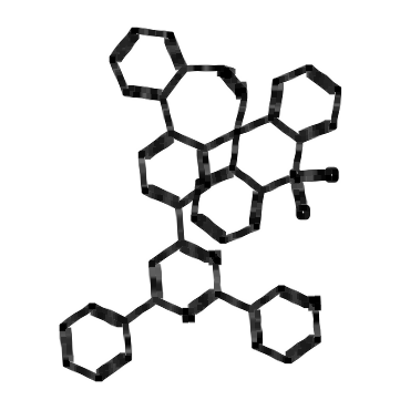 O=S1(=O)c2ccccc2C2(c3ccccc3-c3ccccc3-c3ccc(-c4cc(-c5ccccc5)nc(-c5cccnc5)n4)cc32)c2ccccc21